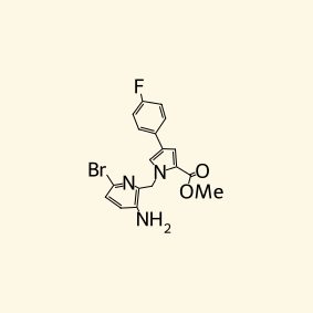 COC(=O)c1cc(-c2ccc(F)cc2)cn1Cc1nc(Br)ccc1N